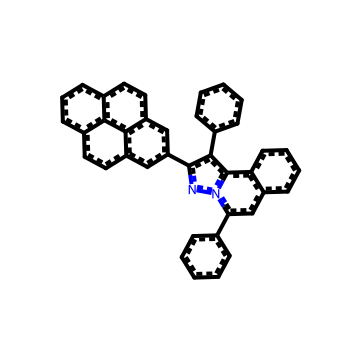 c1ccc(-c2c(-c3cc4ccc5cccc6ccc(c3)c4c56)nn3c(-c4ccccc4)cc4ccccc4c23)cc1